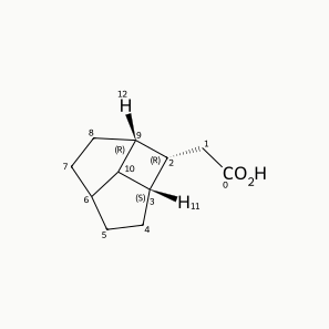 O=C(O)C[C@@H]1[C@@H]2CCC3CC[C@H]1C32